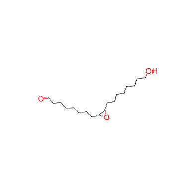 O=CCCCCCCCC1OC1CCCCCCCCO